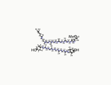 CC1=C[C@H](O)CC(C)(C)[C@H]1/C=C/C(C)=C/C=C/C(C)=C/C=C/C=C(C)/C=C/C=C(C)/C=C/C1=C(C)C[C@@H](O)CC1(C)C.COC(C)(C)C\C=C/C(C)=C/C=C/C(C)=C/C=C/C(C)=C/C=C/C=C(C)/C=C/C=C(\C)CC/C=C(\C)CCC=C(C)C